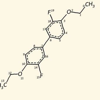 CCOc1ccc(-c2ccc(OCC)c(F)c2)cc1F